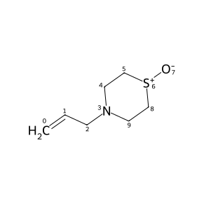 C=CCN1CC[S+]([O-])CC1